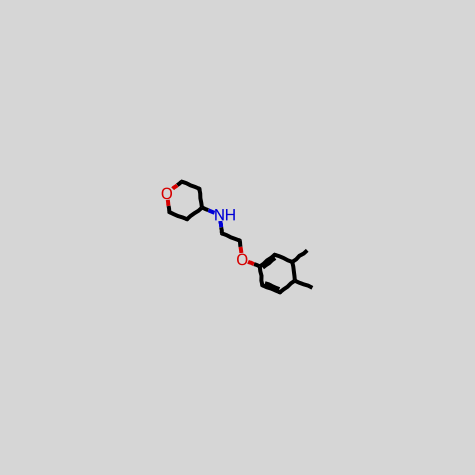 CC1C=CC(OCCNC2CCOCC2)=CC1C